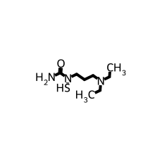 CCN(CC)CCCN(S)C(N)=O